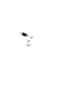 [C-]#N.[Cl-].[Cu+].[Li+]